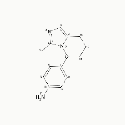 Cc1ncc2n1C(c1ccc(N)cc1)CCC2